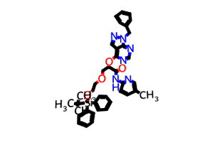 Cc1ccc(NC(=O)C(COCCO[Si](c2ccccc2)(c2ccccc2)C(C)(C)C)Oc2ncnc3c2cnn3Cc2ccccc2)nc1